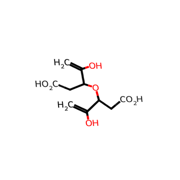 C=C(O)C(CC(=O)O)OC(CC(=O)O)C(=C)O